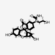 NC(=O)N(CCS)c1ccc2c(c1)C(=O)OC21c2ccc(O)cc2Oc2cc(O)ccc21